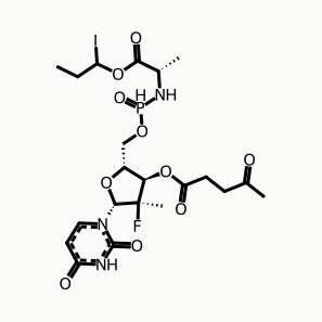 CCC(I)OC(=O)[C@H](C)N[PH](=O)OC[C@H]1O[C@@H](n2ccc(=O)[nH]c2=O)[C@](C)(F)[C@@H]1OC(=O)CCC(C)=O